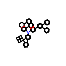 c1ccc(-c2ccc(-c3ccc(N(c4ccc5c(c4)C4(c6ccccc6-5)C5CC6CC7CC4C675)c4ccccc4-c4cccc5cccc(C6CCCCC6)c45)cc3)cc2-c2ccccc2)cc1